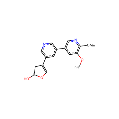 CCCOc1cc(-c2cncc(C3=COB(O)C3)c2)cnc1OC